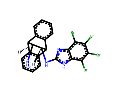 N[C@H]1C2c3ccccc3C(c3ccccc32)[C@@H]1Nc1nc2c(Br)c(Br)c(Br)c(Br)c2[nH]1